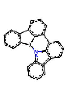 c1ccc2c(c1)B1c3c-2cccc3-c2cccc3c4ccccc4n1c23